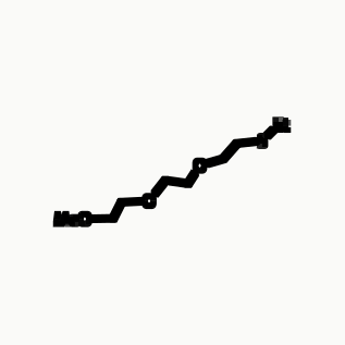 CCSCCOCCOCCOC